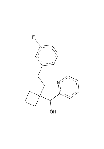 OC(c1ccccn1)C1(CCc2cccc(F)c2)CCC1